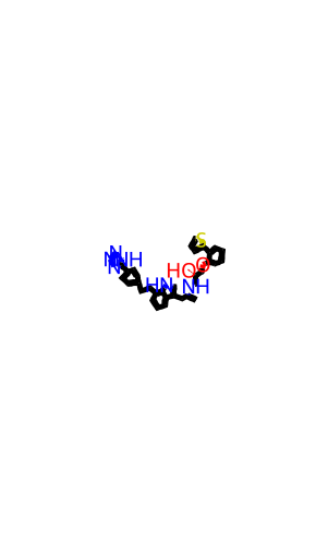 C=C(Cc1c[nH]c2c(CCc3ccc(-c4nnn[nH]4)cc3)cccc12)NC[C@H](O)COc1ccccc1-c1cccs1